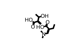 C=C(C(=O)O)C(C)O.CCC(=CN(C)C)C(=O)O